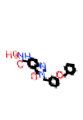 O=C(NO)c1ccc2ncn(Cc3cccc(OCc4ccccc4)c3)c(=O)c2c1